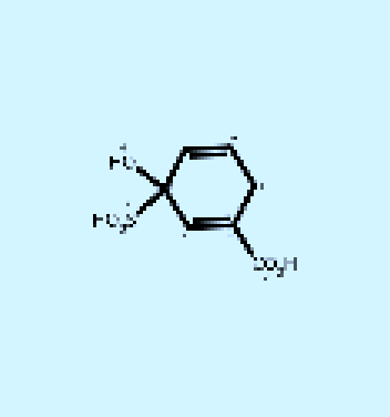 O=C(O)C1=CC(O)(S(=O)(=O)O)C=CC1